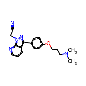 CN(C)CCCOc1ccc(-c2nn(CC#N)c3ncccc23)cc1